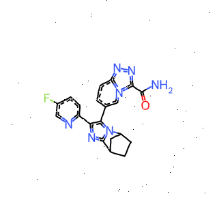 NC(=O)c1nnc2ccc(-c3c(-c4ccc(F)cn4)nc4n3C3CCC4C3)cn12